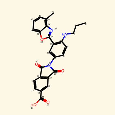 CCCNc1ccc(N2C(=O)c3ccc(C(=O)O)cc3C2=O)cc1-c1nc2c(C)cccc2o1